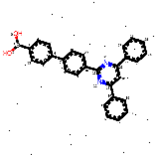 OB(O)c1ccc(-c2ccc(-c3nc(-c4ccccc4)cc(-c4ccccc4)n3)cc2)cc1